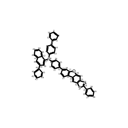 c1ccc(-c2ccc(N(c3ccc(-c4ccc5c(c4)oc4cc6nc(-c7ccccc7)sc6cc45)cc3)c3cc(-c4ccccc4)cc4ccccc34)cc2)cc1